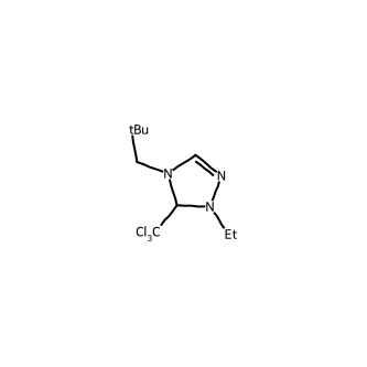 CCN1N=CN(CC(C)(C)C)C1C(Cl)(Cl)Cl